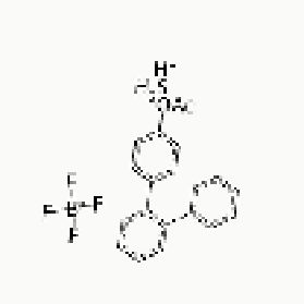 CC(=O)Oc1ccc(-c2ccccc2-c2ccccc2)cc1.F[B-](F)(F)F.S.[H+]